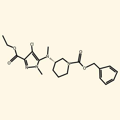 CCOC(=O)c1nn(C)c(N(C)[C@H]2CCCN(C(=O)OCc3ccccc3)C2)c1Cl